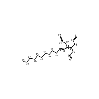 C=CCC(CC=C)N(C=CCCCCCCCCCC)CC=C